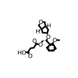 COc1ccccc1[C@H](COC(=O)CCC(=O)O)O[C@H]1C[C@H]2COC[C@H]2C1